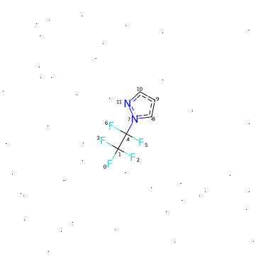 FC(F)(F)C(F)(F)n1[c]ccn1